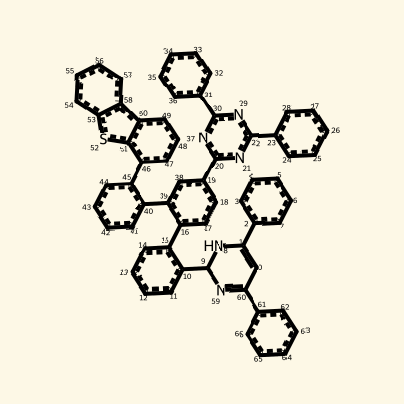 C1=C(c2ccccc2)NC(c2ccccc2-c2ccc(-c3nc(-c4ccccc4)nc(-c4ccccc4)n3)cc2-c2ccccc2-c2cccc3c2sc2ccccc23)N=C1c1ccccc1